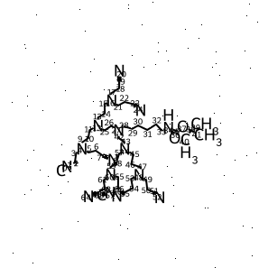 [C-]#[N+]CCN(CCC#N)CCCN(CCCN(CCC#N)CCC#N)CCN(CCCCCCNC(=O)OC(C)(C)C)CCN(CCCN(CCC#N)CCC#N)CCCN(CCC#N)CC[N+]#[C-]